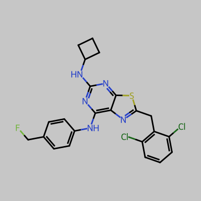 FCc1ccc(Nc2nc(NC3CCC3)nc3sc(Cc4c(Cl)cccc4Cl)nc23)cc1